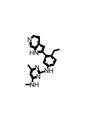 CCc1ccc(Nc2nc(C)cc(NC)n2)cc1-c1cc2ccncc2[nH]1